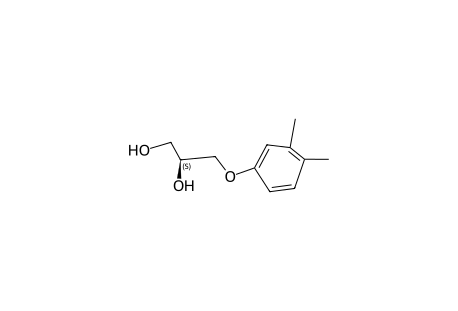 Cc1ccc(OC[C@@H](O)CO)cc1C